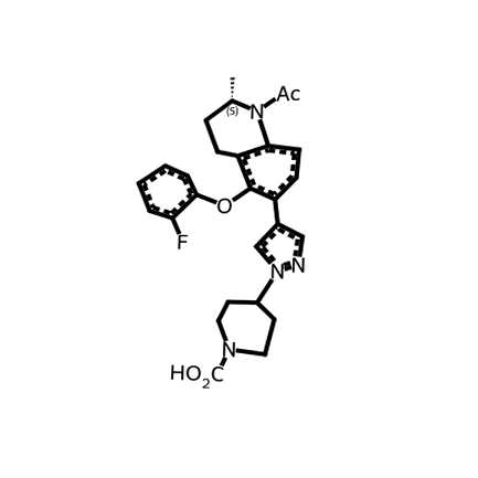 CC(=O)N1c2ccc(-c3cnn(C4CCN(C(=O)O)CC4)c3)c(Oc3ccccc3F)c2CC[C@@H]1C